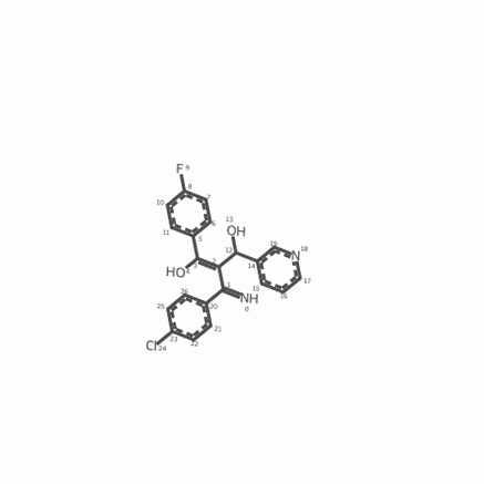 N=C(/C(=C(\O)c1ccc(F)cc1)C(O)c1cccnc1)c1ccc(Cl)cc1